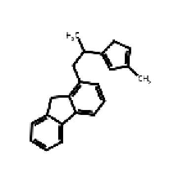 CC1=CCC(C(C)Cc2cccc3c2Cc2ccccc2-3)=C1